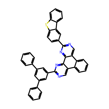 c1ccc(-c2cc(-c3ccccc3)cc(-c3ncc4c5ccccc5c5cnc(-c6ccc7sc8ccccc8c7c6)nc5c4n3)c2)cc1